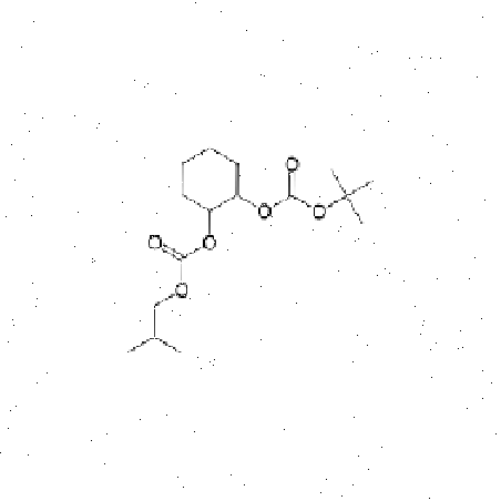 CC(C)COC(=O)OC1CCCCC1OC(=O)OC(C)(C)C